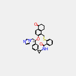 O=C(NC1CC1)c1ccccc1SCc1c(O[C@H](Cn2ccnc2)c2ccccc2)ccc2c1CCCC2=O